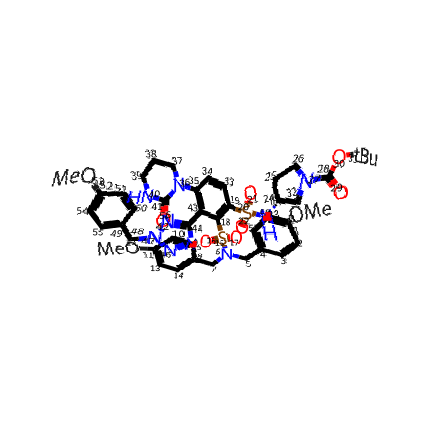 COc1ccc(CN(Cc2ccc(OC)cc2)S(=O)(=O)c2c(S(=O)(=O)N[C@@H]3CCN(C(=O)OC(C)(C)C)C3)ccc(N3CCCNC3=O)c2-c2nnn(Cc3ccc(OC)cc3)n2)cc1